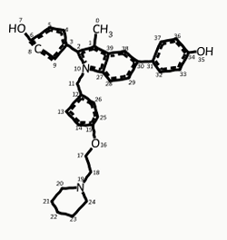 Cc1c(-c2ccc(O)cc2)n(Cc2ccc(OCCN3CCCCC3)cc2)c2ccc(-c3ccc(O)cc3)cc12